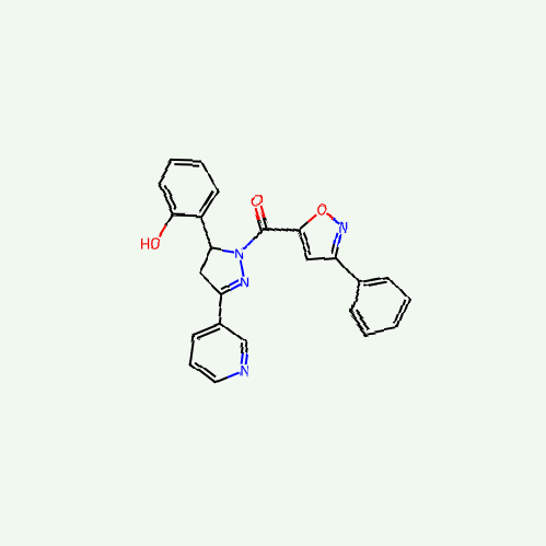 O=C(c1cc(-c2ccccc2)no1)N1N=C(c2cccnc2)CC1c1ccccc1O